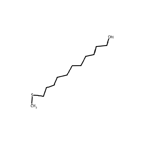 CSCCCCCCCCCCCO